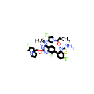 C=CC(=O)N1CC(F)C(N(C)c2nc(OCC34CCCN3CC(F)C4)nc3c(F)c(-c4ccc(F)c5sc(N)nc45)ccc23)C1